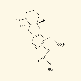 CCCN1CCC[C@@H]2Cc3c(ccc(OC(=O)OC(C)(C)C)c3CC(=O)O)C[C@H]21